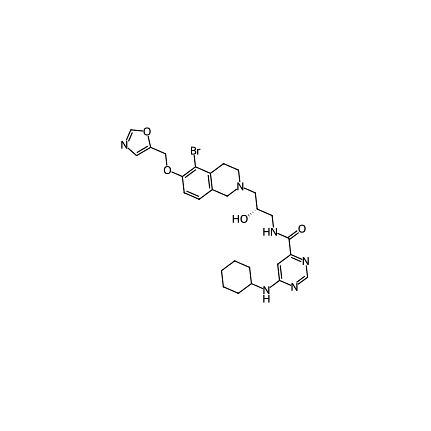 O=C(NC[C@H](O)CN1CCc2c(ccc(OCc3cnco3)c2Br)C1)c1cc(NC2CCCCC2)ncn1